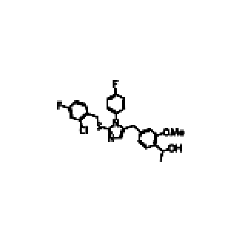 COc1cc(Cc2cnc(SCc3ccc(F)cc3Cl)n2-c2ccc(F)cc2)ccc1C(C)O